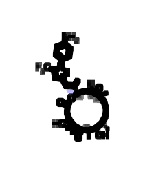 C/C(=C\c1cc(C(F)(F)F)n(-c2ccc(N)cc2)n1)[C@@H]1C[C@@H]2O[C@]2(C)CCC[C@H](C)[C@H](O)[C@@H](C)C(=O)C(C)(C)[C@@H](O)CC(=O)O1